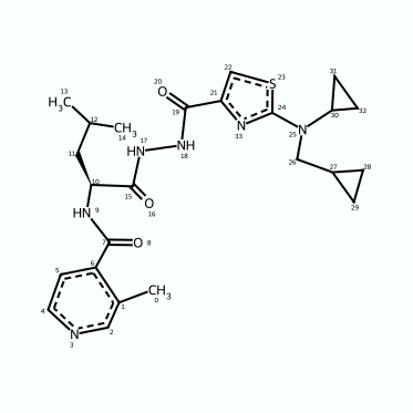 Cc1cnccc1C(=O)N[C@@H](CC(C)C)C(=O)NNC(=O)c1csc(N(CC2CC2)C2CC2)n1